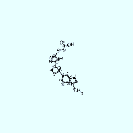 Cn1ccc2cc(-c3ccc(-c4nnc(SCC(=O)O)[nH]4)o3)ccc21